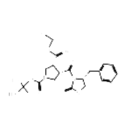 CCOC(=O)[C@H]1CN(C(=O)OC(C)(C)C)C[C@@H]1C(=O)N1C(=O)OC[C@@H]1Cc1ccccc1